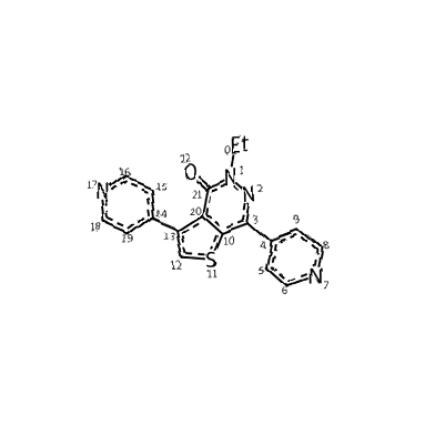 CCn1nc(-c2ccncc2)c2scc(-c3ccncc3)c2c1=O